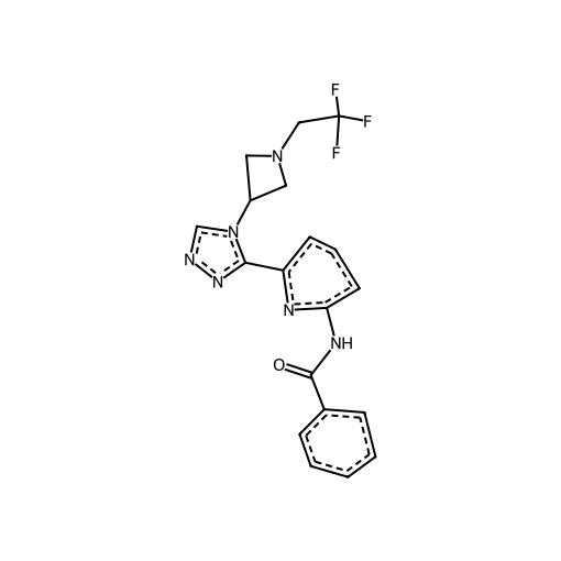 O=C(Nc1cccc(-c2nncn2C2CN(CC(F)(F)F)C2)n1)c1ccccc1